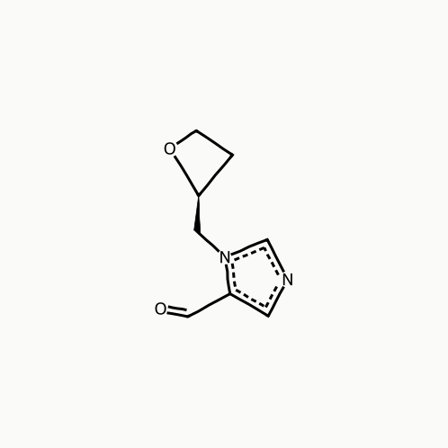 O=Cc1cncn1C[C@@H]1CCO1